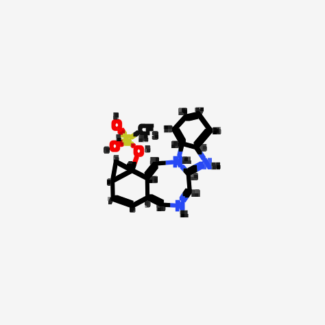 O=S(=O)(OC12CC1C=CC1=CN=Cc3nc4ccccc4n3C=C12)C(F)(F)F